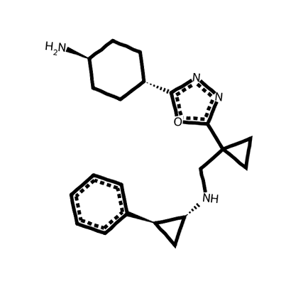 N[C@H]1CC[C@H](c2nnc(C3(CN[C@@H]4C[C@H]4c4ccccc4)CC3)o2)CC1